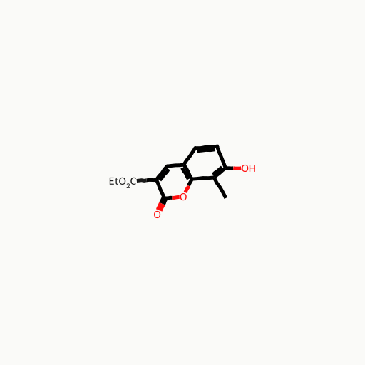 CCOC(=O)c1cc2ccc(O)c(C)c2oc1=O